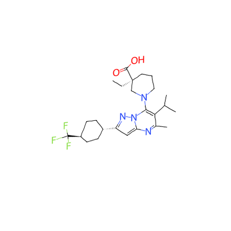 CC[C@]1(C(=O)O)CCCN(c2c(C(C)C)c(C)nc3cc([C@H]4CC[C@H](C(F)(F)F)CC4)nn23)C1